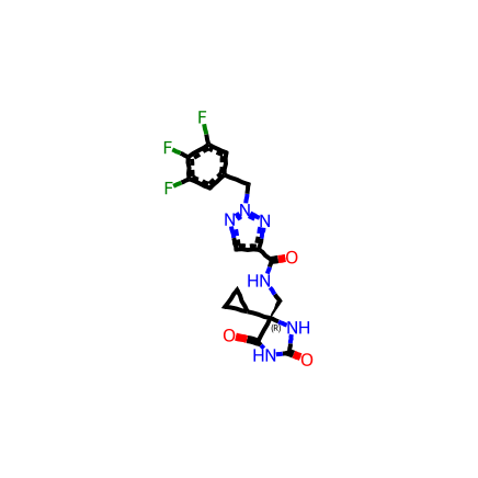 O=C1NC(=O)[C@](CNC(=O)c2cnn(Cc3cc(F)c(F)c(F)c3)n2)(C2CC2)N1